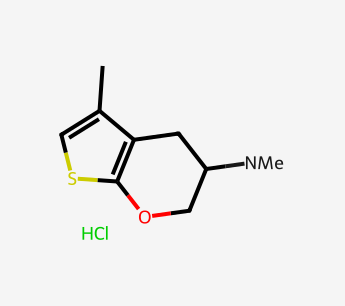 CNC1COc2scc(C)c2C1.Cl